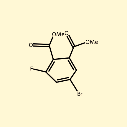 COC(=O)c1cc(Br)cc(F)c1C(=O)OC